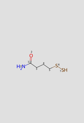 NC(=O)CCCSS